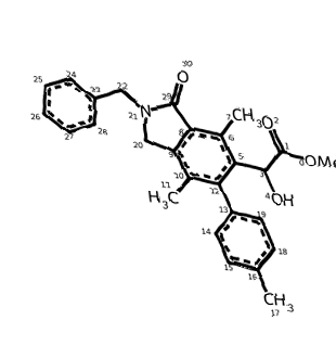 COC(=O)C(O)c1c(C)c2c(c(C)c1-c1ccc(C)cc1)CN(Cc1ccccc1)C2=O